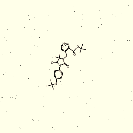 CC(C)(C)OC(=O)c1cnccc1CN1C(=O)N(c2ccc(SC(F)(F)F)cc2)C(=O)C1(C)C